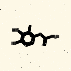 C=C(Oc1ccc(O)c(C=O)c1C)C(=O)OCC